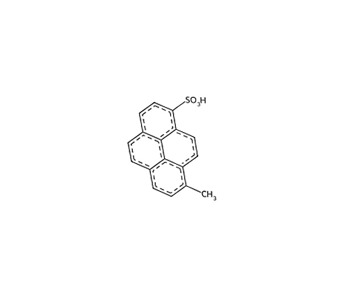 Cc1ccc2ccc3ccc(S(=O)(=O)O)c4ccc1c2c34